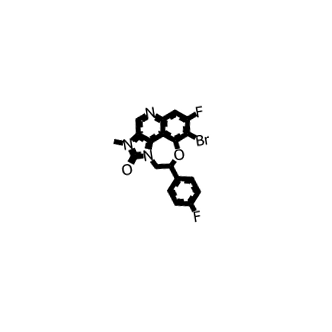 Cn1c(=O)n2c3c4c(c(Br)c(F)cc4ncc31)OC(c1ccc(F)cc1)C2